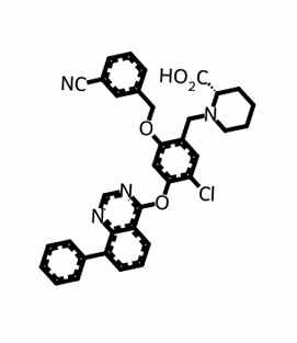 N#Cc1cccc(COc2cc(Oc3ncnc4c(-c5ccccc5)cccc34)c(Cl)cc2CN2CCCC[C@H]2C(=O)O)c1